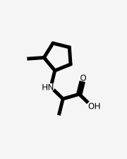 CC(NC1CCCC1C)C(=O)O